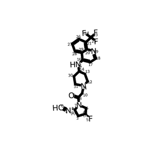 C#[N+][C@@H]1C[C@H](F)CN1C(=O)CN1CCC(Nc2ccnc3c(C(F)(F)F)cccc23)CC1